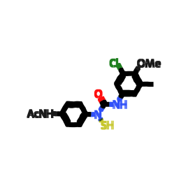 COc1c(C)cc(NC(=O)N(S)c2ccc(NC(C)=O)cc2)cc1Cl